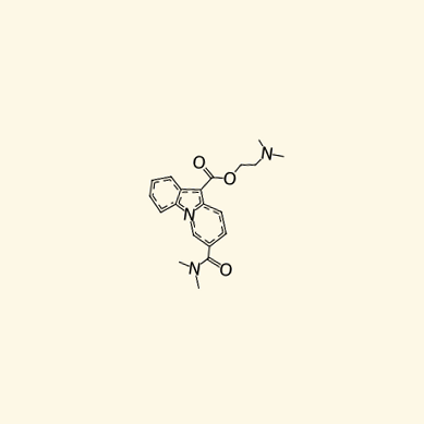 CN(C)CCOC(=O)c1c2ccccc2n2cc(C(=O)N(C)C)ccc12